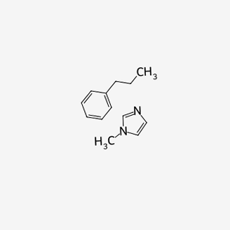 CCCc1ccccc1.Cn1ccnc1